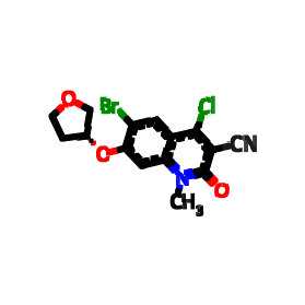 Cn1c(=O)c(C#N)c(Cl)c2cc(Br)c(O[C@@H]3CCOC3)cc21